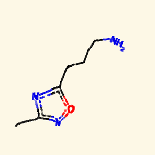 Cc1noc(CCCN)n1